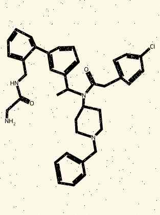 CC(c1cccc(-c2ccccc2CNC(=O)CN)c1)N(C(=O)Cc1ccc(Cl)cc1)C1CCN(Cc2ccccc2)CC1